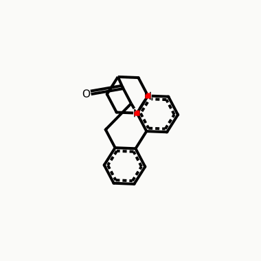 O=C1C2CCN(CC2)C1Cc1ccccc1-c1cccnc1